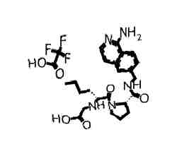 CCCC[C@@H](NCC(=O)O)C(=O)N1CCC[C@H]1C(=O)NCc1ccc2c(N)nccc2c1.O=C(O)C(F)(F)F